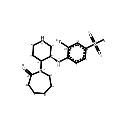 CS(=O)(=O)c1ccc(N[C@@H]2CNCCC2N2CCCCCC2=O)c(F)c1